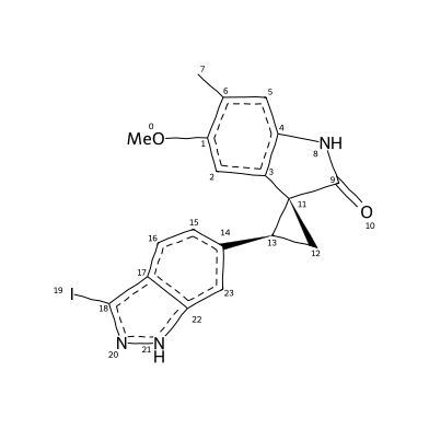 COc1cc2c(cc1C)NC(=O)[C@@]21C[C@H]1c1ccc2c(I)n[nH]c2c1